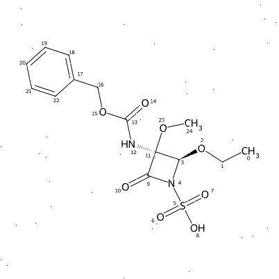 CCO[C@H]1N(S(=O)(=O)O)C(=O)[C@@]1(NC(=O)OCc1ccccc1)OC